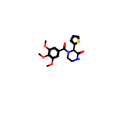 COc1cc(C(=O)N2CCNC(=O)C2c2cccs2)cc(OC)c1OC